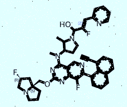 C#Cc1cccc2cccc(-c3ncc4c(N(C)C5CCN(C(O)/C(F)=C/c6ccccn6)C5C)nc(OC[C@@]56CCCN5C[C@H](F)C6)nc4c3F)c12